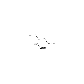 C=CC=C.CCCCCCl